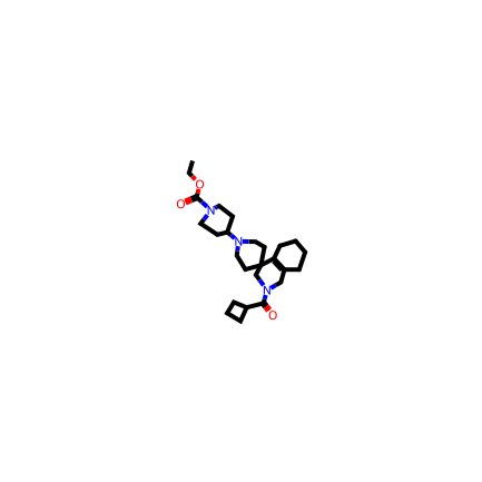 CCOC(=O)N1CCC(N2CCC3(CC2)CN(C(=O)C2CCC2)CC2=C3CCCC2)CC1